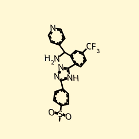 CS(=O)(=O)c1ccc(-c2nnc(-c3ccc(C(F)(F)F)cc3C(N)c3ccncc3)[nH]2)cc1